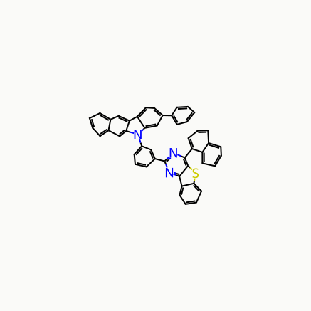 c1ccc(-c2ccc3c4cc5ccccc5cc4n(-c4cccc(-c5nc(-c6cccc7ccccc67)c6sc7ccccc7c6n5)c4)c3c2)cc1